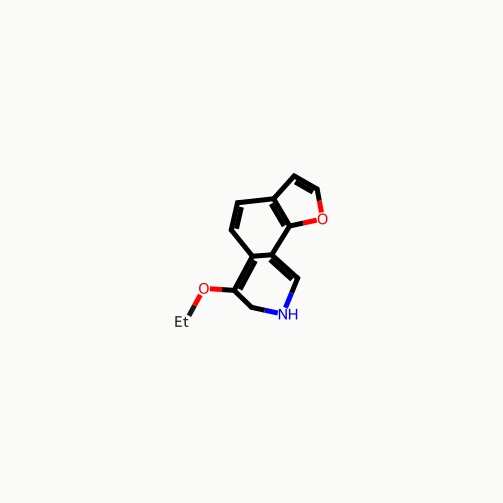 CCOC1=c2ccc3ccoc3c2=CNC1